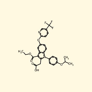 CCOC(=O)c1c(CC(=O)O)n(-c2ccc(OC(C)C)cc2)c2ccc(Oc3ccc(C(F)(F)F)cn3)cc12